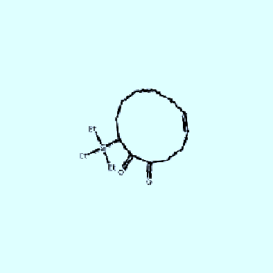 CC[Si](CC)(CC)C1CCCCCC=CCCC(=O)C1=O